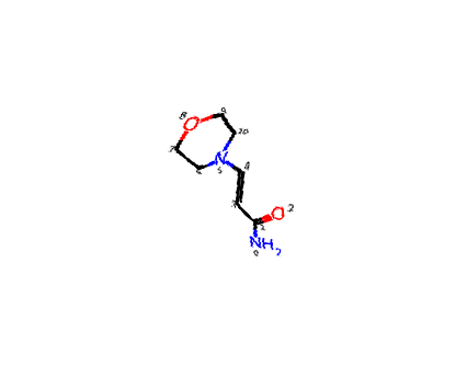 NC(=O)C=CN1CCOCC1